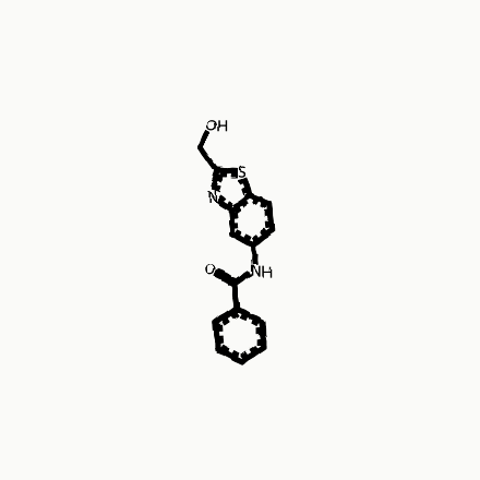 O=C(Nc1ccc2sc(CO)nc2c1)c1ccccc1